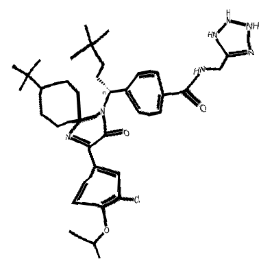 CC(C)Oc1ccc(C2=NC3(CCC(C(C)(C)C)CC3)N([C@H](CCC(C)(C)C)c3ccc(C(=O)NCC4=NNNN4)cc3)C2=O)cc1Cl